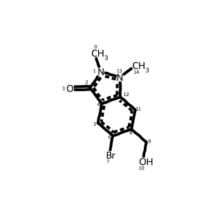 Cn1c(=O)c2cc(Br)c(CO)cc2n1C